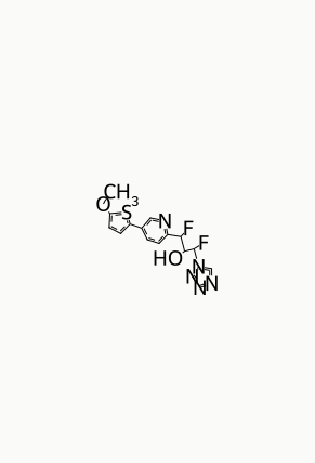 COc1ccc(-c2ccc(C(F)C(O)C(F)n3cnnn3)nc2)s1